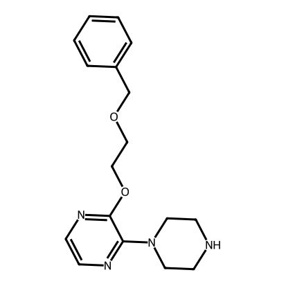 c1ccc(COCCOc2nccnc2N2CCNCC2)cc1